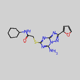 Nc1nc(SCC(=O)NC2CCCCC2)nc2nc(-c3ccco3)nn12